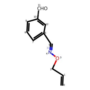 C=CCO/N=C/c1cccc(C=O)c1